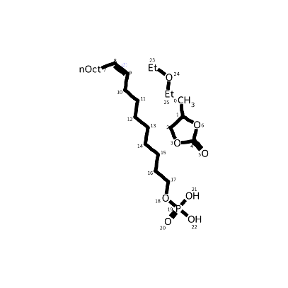 CC1COC(=O)O1.CCCCCCCC/C=C\CCCCCCCCOP(=O)(O)O.CCOCC